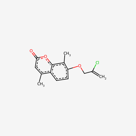 C=C(Cl)COc1ccc2c(C)cc(=O)oc2c1C